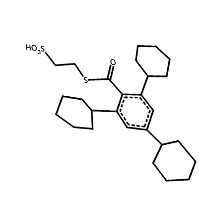 O=C(SCCS(=O)(=O)O)c1c(C2CCCCC2)cc(C2CCCCC2)cc1C1CCCCC1